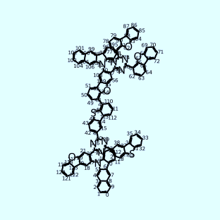 c1ccc2cc3c(cc2c1)c1ccccc1n3-c1cc2c(cc1-c1nc(-c3ccc4sc5ccccc5c4c3)nc(-c3ccc4sc5c(-c6cccc7c6oc6cc(-c8nc(-c9cccc%10c9oc9ccccc9%10)nc(-c9cccc%10c9oc9ccccc9%10)n8)c(-n8c9ccccc9c9cc%10ccccc%10cc98)cc67)cccc5c4c3)n1)oc1ccccc12